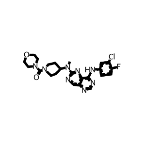 CN(c1ncc2ncnc(Nc3ccc(F)c(Cl)c3)c2n1)C1CCN(C(=O)N2CCOCC2)CC1